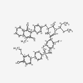 C=CCn1cc(-c2ccc(S(=O)(=O)Nc3cc(F)c(C(=O)NC(Cc4ccc(-n5c(=O)c6ccncc6n(C)c5=O)cn4)C(=O)OC(CC)CC)cc3F)cc2)cnc1=O